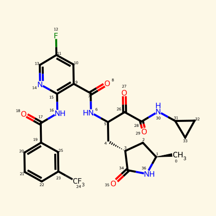 C[C@@H]1C[C@@H](CC(NC(=O)c2cc(F)cnc2NC(=O)c2cccc(C(F)(F)F)c2)C(=O)C(=O)NC2CC2)C(=O)N1